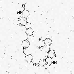 O=C1CCC(N2Cc3ccc(N4CCN(Cc5ccc(O[C@@H]6C[C@@H]7CNc8nnc(-c9cccc(F)c9O)cc8N7C6)cc5)CC4)cc3C2=O)C(=O)N1